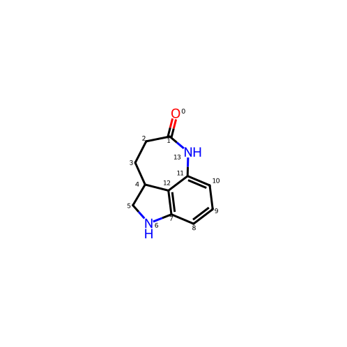 O=C1CCC2CNc3cccc(c32)N1